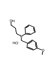 COc1ccc(CN(CCCO)c2ccccc2)cc1.Cl